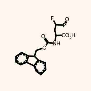 O=PC(F)CC(NC(=O)OCC1c2ccccc2-c2ccccc21)C(=O)O